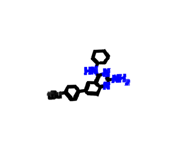 CC(C)(C)c1ccc(-c2ccc3nc(N)nc(NC4CCCCC4)c3c2)cc1